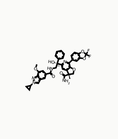 COc1cc(C(=O)NC[C@@](O)(c2ccccc2)c2cc3c(c(-c4ccc5c(c4)OC(F)(F)O5)n2)OC[C@]3(C)C(N)=O)cc2cn(C3CC3)nc12